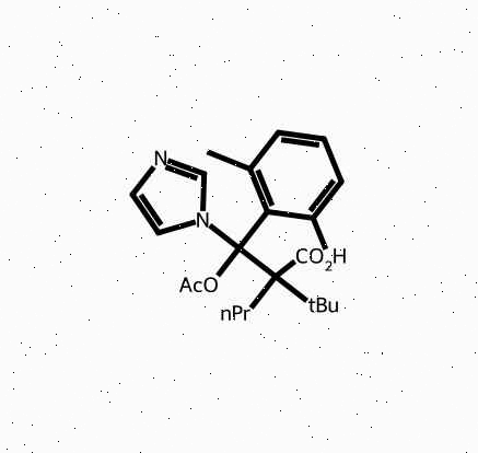 CCCC(C(=O)O)(C(C)(C)C)C(OC(C)=O)(c1c(C)cccc1C)n1ccnc1